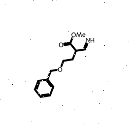 COC(=O)C(C=N)CCOCc1ccccc1